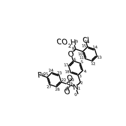 CN(Cc1ccc(OC(C(=O)O)c2ccccc2Cl)cc1)S(=O)(=O)c1ccc(F)cc1